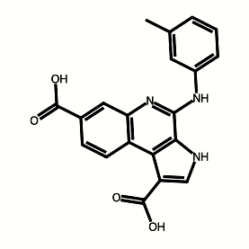 Cc1cccc(Nc2nc3cc(C(=O)O)ccc3c3c(C(=O)O)c[nH]c23)c1